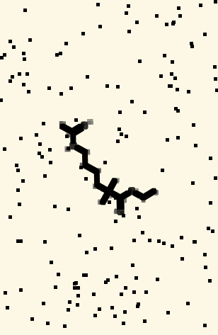 CCOC(=O)C(C)(C)CCCCOC(C)=O